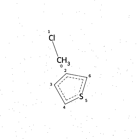 CCl.c1ccsc1